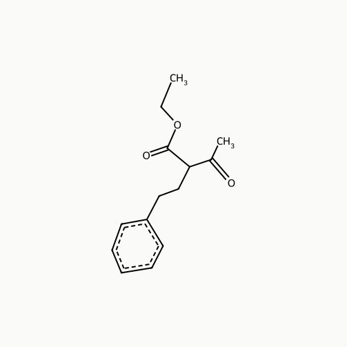 CCOC(=O)C(CCc1ccccc1)C(C)=O